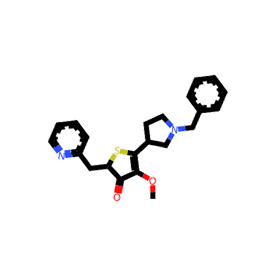 COC1=C(C2CCN(Cc3ccccc3)C2)SC(Cc2ccccn2)C1=O